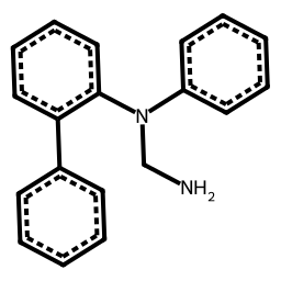 NCN(c1ccccc1)c1ccccc1-c1ccccc1